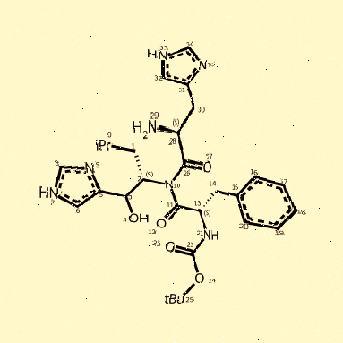 CC(C)C[C@@H](C(O)c1c[nH]cn1)N(C(=O)[C@H](Cc1ccccc1)NC(=O)OC(C)(C)C)C(=O)[C@@H](N)Cc1c[nH]cn1